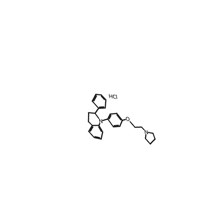 Cl.c1ccc(C2CCc3ccccc3N2c2ccc(OCCN3CCCC3)cc2)cc1